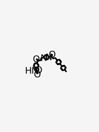 Cc1ccc(-c2ccc(CCC(=O)N3CCN(CCC(=O)c4ccc5[nH]c(=O)oc5c4)CC3)cc2)cc1